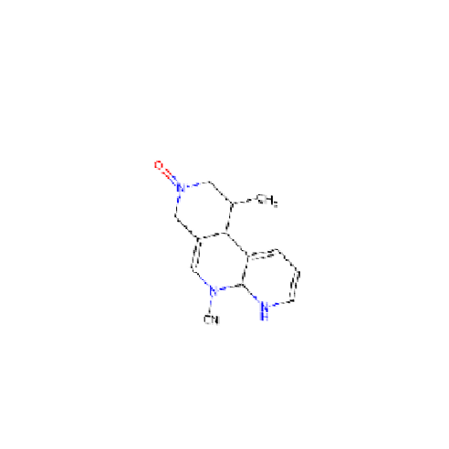 CC1C[N+](=O)CC2=CN(C#N)C3NC=CC=C3C21